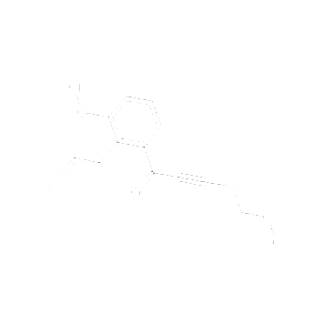 C=CCc1c(OC)cccc1C(=O)C#COCOC